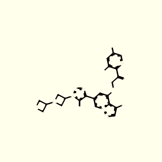 Cc1c(-c2cc(OCC(=O)c3ncc(F)cc3F)c3c(Cl)cnn3c2)nnn1C1CN(C2COC2)C1